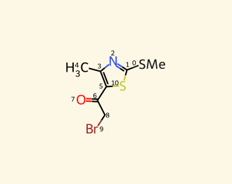 CSc1nc(C)c(C(=O)CBr)s1